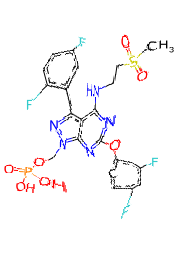 CS(=O)(=O)CCNc1nc(Oc2ccc(F)cc2F)nc2c1c(-c1cc(F)ccc1F)nn2COP(=O)(O)O